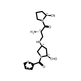 N#C[C@@H]1CCCN1C(=O)[C@@H](N)CN[C@H]1C[C@@H](C=O)N(C(=O)c2cccs2)C1